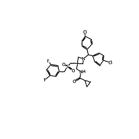 O=C(NCC1(CS(=O)(=O)Cc2cc(F)cc(F)c2)CN(C(c2ccc(Cl)cc2)c2ccc(Cl)cc2)C1)C1CC1